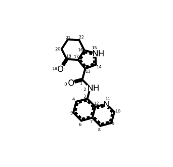 O=C(Nc1cccc2cccnc12)c1c[nH]c2c1C(=O)CCC2